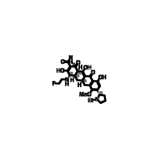 CCN1CCC[C@H]1c1cc(O)c2c(c1OC)C[C@H]1C[C@@H]3[C@@H](C(=O)C(C(N)=O)=C(O)[C@H]3NCCF)C(O)=C1C2=O